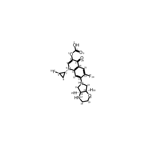 O=C(O)Oc1cn([C@@H]2C[C@H]2F)c2cc(N3C[C@@H]4NCCO[C@@H]4C3)c(F)cc2c1=O